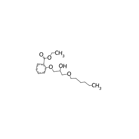 CCCCCCOCC(O)COc1ccccc1C(=O)OCC